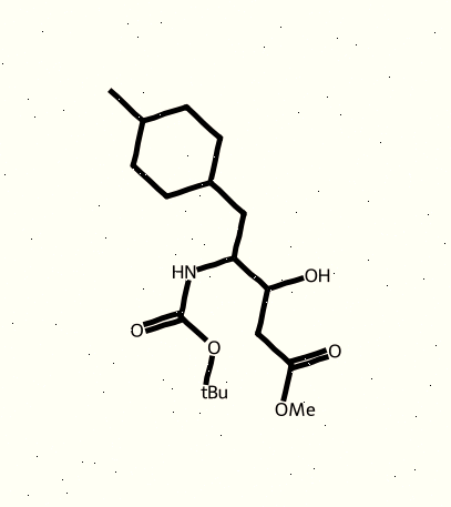 COC(=O)CC(O)C(CC1CCC(C)CC1)NC(=O)OC(C)(C)C